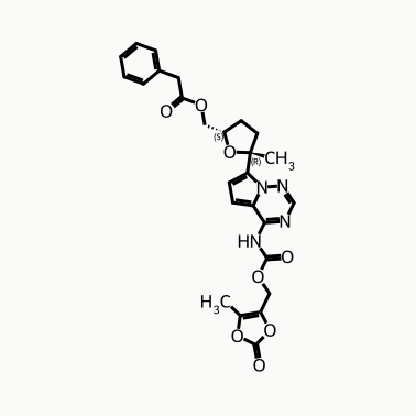 Cc1oc(=O)oc1COC(=O)Nc1ncnn2c([C@@]3(C)CC[C@@H](COC(=O)Cc4ccccc4)O3)ccc12